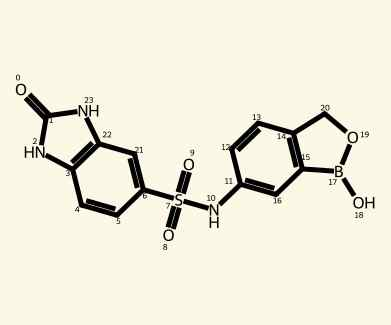 O=c1[nH]c2ccc(S(=O)(=O)Nc3ccc4c(c3)B(O)OC4)cc2[nH]1